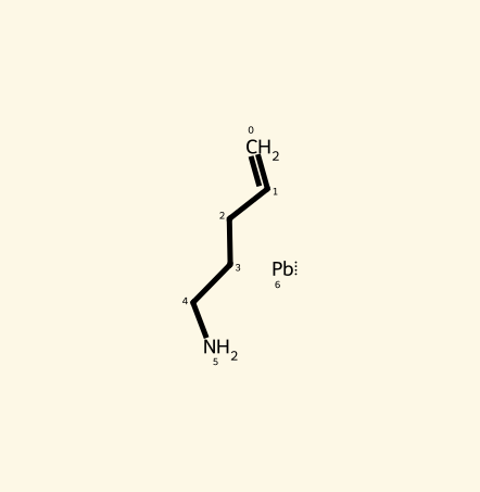 C=CCCCN.[Pb]